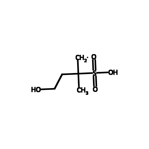 [CH2]C(C)(CCO)S(=O)(=O)O